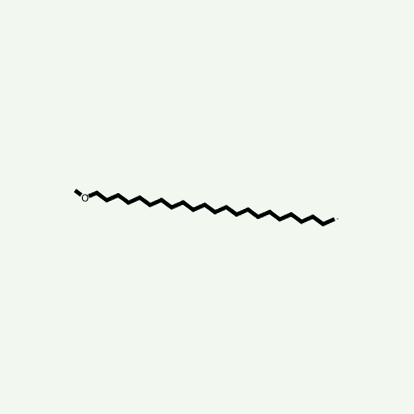 [CH2]CCCCCCCCCCCCCCCCCCCCCCOC